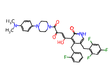 CN(C)c1ccc(N2CCN(C(=O)C(=O)C=C(O)c3c(Cc4ccccc4F)c(Cc4c(F)cc(F)cc4F)c[nH]c3=O)CC2)cc1